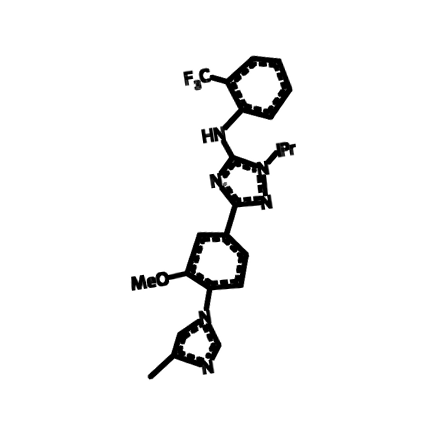 COc1cc(-c2nc(Nc3ccccc3C(F)(F)F)n(C(C)C)n2)ccc1-n1cnc(C)c1